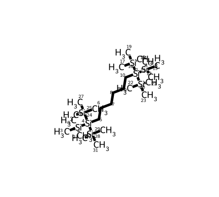 C[Si](C)(C)[Si](CCCCCC[Si]([Si](C)(C)C)([Si](C)(C)C)[Si](C)(C)C)([Si](C)(C)C)[Si](C)(C)C